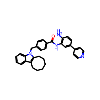 Nc1ccc(-c2ccncc2)cc1NC(=O)c1ccc(Cn2c3c(c4ccccc42)CCCCCC3)cc1